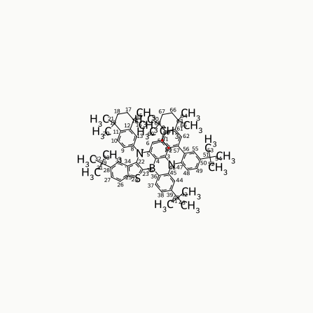 Cc1cc2c3c(c1)N(c1ccc4c(c1)C(C)(C)CCC4(C)C)c1c(sc4ccc(C(C)(C)C)cc14)B3c1ccc(C(C)(C)C)cc1N2c1ccc(C(C)(C)C)cc1-c1ccc2c(c1)C(C)(C)CCC2(C)C